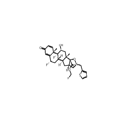 C[C@]12C=CC(=O)C=C1[C@@H](F)C[C@H]1[C@@H]3C[C@H]4CN(Cc5cccs5)O[C@@]4(C(=O)OCF)[C@@]3(C)C[C@H](O)[C@@]12F